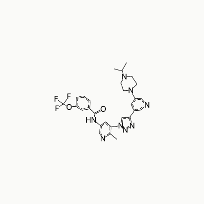 Cc1ncc(NC(=O)c2cccc(OC(F)(F)F)c2)cc1-n1cc(-c2cncc(N3CCN(C(C)C)CC3)c2)nn1